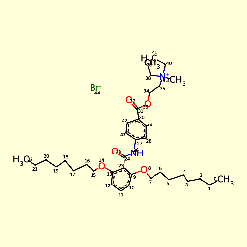 CCCCCCCCOc1cccc(OCCCCCCCC)c1C(=O)Nc1ccc(C(=O)OCC[N+](C)(CC)CC)cc1.[Br-]